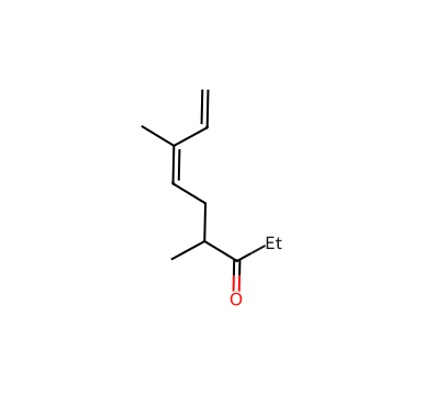 C=CC(C)=CCC(C)C(=O)CC